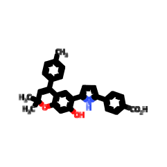 Cc1ccc(C2=CC(C)(C)Oc3cc(O)c(-c4ccc(-c5ccc(C(=O)O)cc5)[nH]4)cc32)cc1